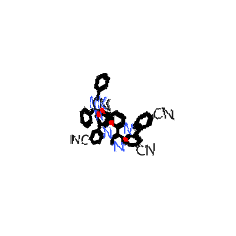 N#Cc1ccc2c(c1)c1cc(C#N)ccc1n2-c1ccc(-c2nc(-c3ccccc3)nc(-c3ccccc3)n2)cc1-c1ccncc1-n1c2ccc(C#N)cc2c2cc(C#N)ccc21